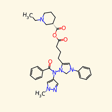 CCN1CCC[C@H](C(=O)OC(=O)CCCC2=CN(c3ccccc3)CN2N(C(=O)c2ccccc2)c2cnn(C)c2)C1